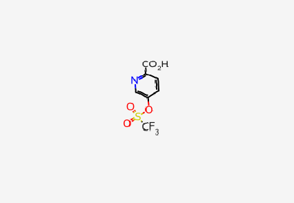 O=C(O)c1ccc(OS(=O)(=O)C(F)(F)F)cn1